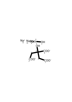 CCCCCCCCO.O=C([O-])CC(O)(CC(=O)[O-])C(=O)[O-].[Na+].[Na+].[Na+]